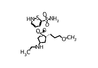 CCNC1C[C@@H](CCCOC)S(=O)(=O)C1.NS(=O)(=O)C1=CC=CNS1